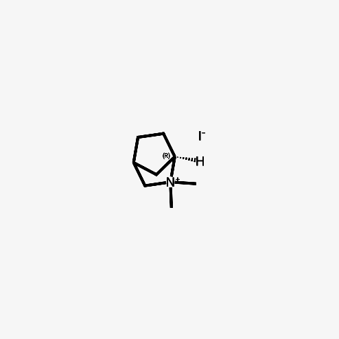 C[N+]1(C)CC2CC[C@@H]1C2.[I-]